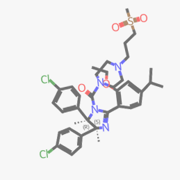 CCOc1cc(C(C)C)ccc1C1=N[C@@](C)(c2ccc(Cl)cc2)[C@@](C)(c2ccc(Cl)cc2)N1C(=O)N1CCN(CCCS(C)(=O)=O)CC1